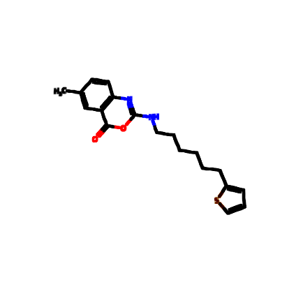 Cc1ccc2nc(NCCCCCCc3cccs3)oc(=O)c2c1